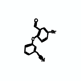 N#Cc1cccc(Oc2ccc(Br)cc2C=O)c1